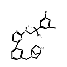 BC(B)(CNc1nccc(-c2cccc(CN3CC4CC3CN4)c2)n1)c1cc(F)cc(F)c1